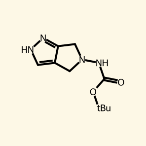 CC(C)(C)OC(=O)NN1Cc2c[nH]nc2C1